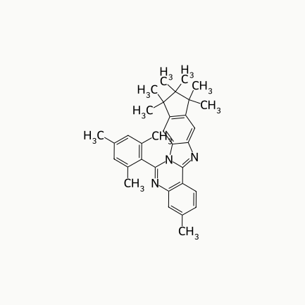 Cc1cc(C)c(-c2nc3cc(C)ccc3c3nc4cc5c(cc4n23)C(C)(C)C(C)(C)C5(C)C)c(C)c1